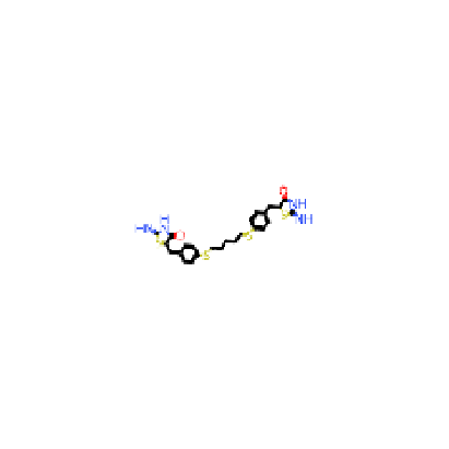 N=C1NC(=O)C(Cc2ccc(SCCCCCSc3ccc(CC4SC(=N)NC4=O)cc3)cc2)S1